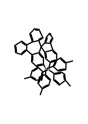 Cc1ccc(N(c2ccc(C)cc2)c2ccc3c(c2)C2(c4ccccc4-c4ccccc4-3)c3ccccc3-c3ccc(N(c4ccc(C)cc4)c4ccc(C)cc4)cc32)cc1